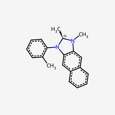 Cc1ccccc1N1c2cc3ccccc3cc2N(C)[C@@H]1C